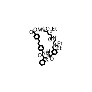 CCOC(=O)CCCCC(=O)N(C)CCN(Cc1cccc(C(=O)Nc2sc3c(c2C(=O)Nc2ccc(CCc4ccc(C(=O)OC)cc4)cc2)CCCC3)c1)C(CC)CC